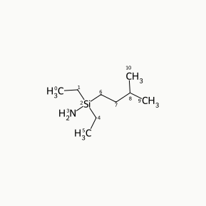 CC[Si](N)(CC)CCC(C)C